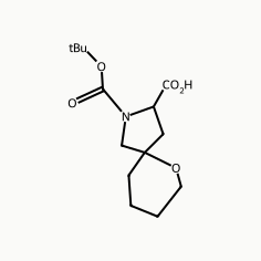 CC(C)(C)OC(=O)N1CC2(CCCCO2)CC1C(=O)O